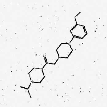 COc1cccc(N2CCN(CC(=O)N3CCN(C(C)C)CC3)CC2)c1